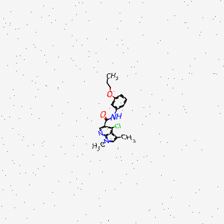 CCCOc1cccc(NC(=O)c2cnc3c(c(C)cn3C)c2Cl)c1